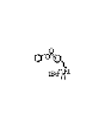 CN(CCCC1CCN(C(=O)OCc2ccccc2)CC1)C(=O)OC(C)(C)C